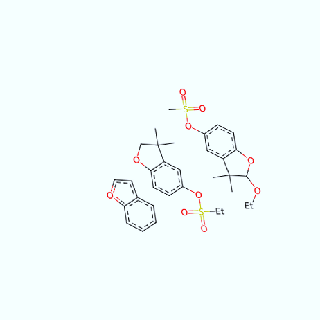 CCOC1Oc2ccc(OS(C)(=O)=O)cc2C1(C)C.CCS(=O)(=O)Oc1ccc2c(c1)C(C)(C)CO2.c1ccc2occc2c1